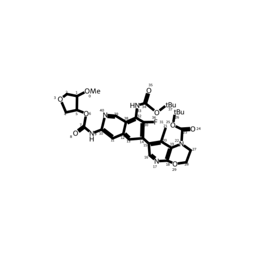 COC1COCC1OC(=O)Nc1cc2cc(-c3cnc4c(c3C)N(C(=O)OC(C)(C)C)CCO4)c(F)c(NC(=O)OC(C)(C)C)c2cn1